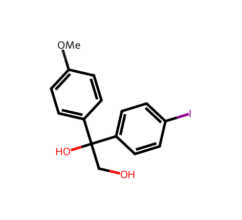 COc1ccc(C(O)(CO)c2ccc(I)cc2)cc1